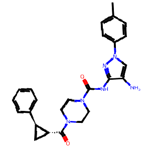 Cc1ccc(-n2cc(N)c(NC(=O)N3CCN(C(=O)[C@@H]4C[C@H]4c4ccccc4)CC3)n2)cc1